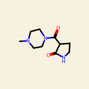 CN1CCN(C(=O)C2CCNC2=O)CC1